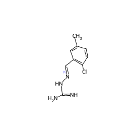 Cc1ccc(Cl)c(/C=N/NC(=N)N)c1